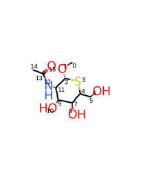 CO[C@@H]1SC(CO)[C@@H](O)C(O)[C@@H]1NC(C)=O